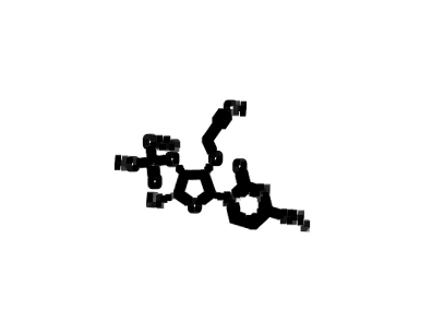 C#CCO[C@H]1[C@@H](OP(=O)(O)OC)[C@@H](CC)O[C@H]1n1ccc(N)nc1=O